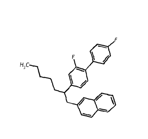 CCCCCC(Cc1ccc2ccccc2c1)c1ccc(-c2ccc(F)cc2)c(F)c1